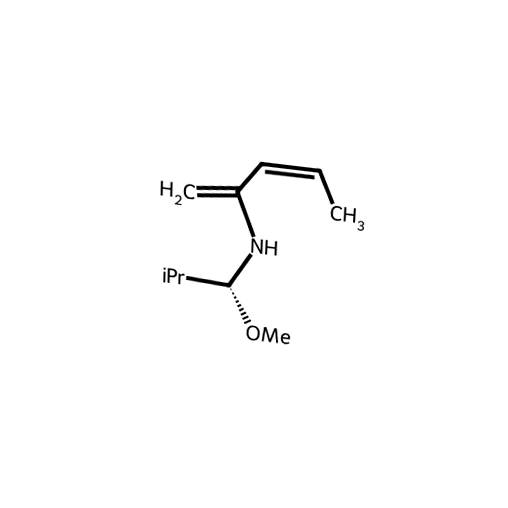 C=C(/C=C\C)N[C@H](OC)C(C)C